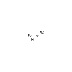 [Ni].[Pb].[Pb].[Zr]